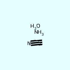 C#N.N.O